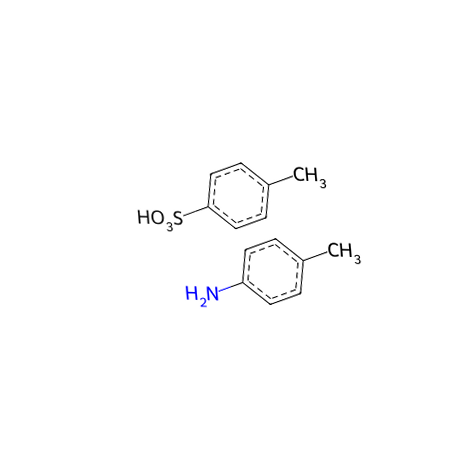 Cc1ccc(N)cc1.Cc1ccc(S(=O)(=O)O)cc1